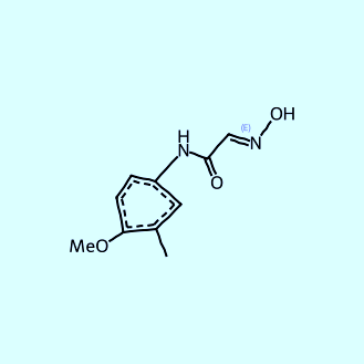 COc1ccc(NC(=O)/C=N/O)cc1C